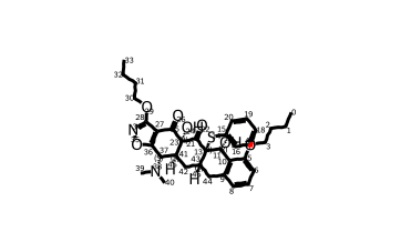 CCCCOc1cccc2c1[C@@H](O)[C@@]1(Sc3ccccc3)C(=O)[C@]3(O)C(=O)c4c(OCCCC)noc4[C@@H](N(C)C)[C@@H]3C[C@H]1C2